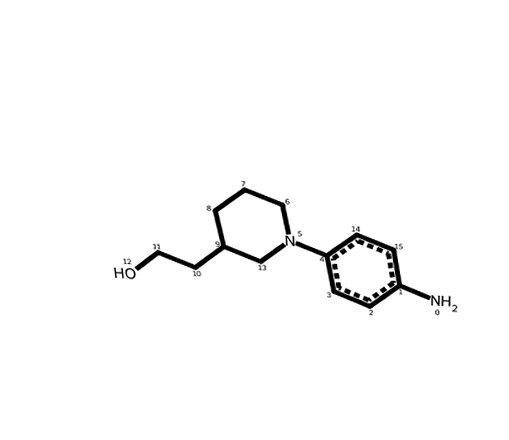 Nc1ccc(N2CCCC(CCO)C2)cc1